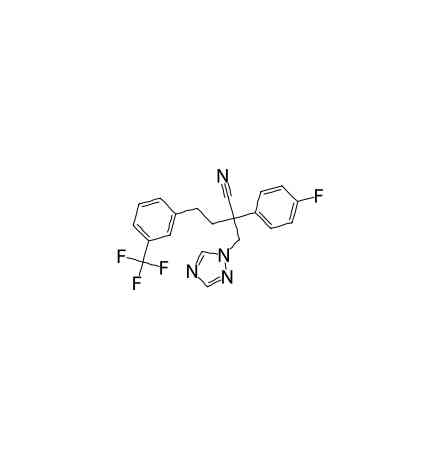 N#CC(CCc1cccc(C(F)(F)F)c1)(Cn1cncn1)c1ccc(F)cc1